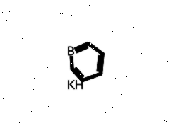 [KH].b1ccccc1